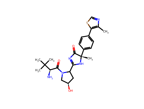 Cc1ncsc1-c1ccc([C@]2(C)NC(C3C[C@@H](O)CN3C(=O)[C@@H](N)C(C)(C)C)=NC2=O)cc1